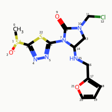 C[S+]([O-])c1nnc(N2C(=O)N(CCl)CC2NCc2ccco2)s1